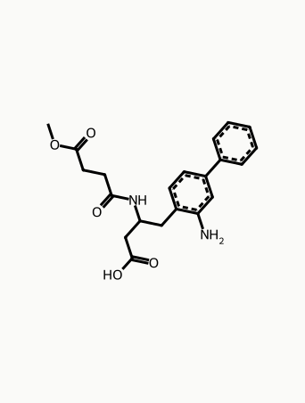 COC(=O)CCC(=O)NC(CC(=O)O)Cc1ccc(-c2ccccc2)cc1N